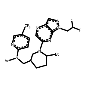 CCC1CCC(CN(C(C)=O)c2ccc(C(F)(F)F)cn2)CN1c1cnc2cnn(CC(F)F)c2n1